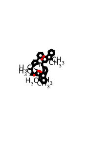 CC(C)(C)c1ccc2c(c1)C13c4ccccc4-c4ccc(cc41)N(c1ccc4c(c1)C(C)(C)c1ccccc1-4)c1cc(ccc1-c1ccccc1)C(C)(C)c1ccc-2c3c1